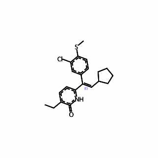 CCc1ccc(/C(=C/C2CCCC2)c2ccc(SC)c(Cl)c2)[nH]c1=O